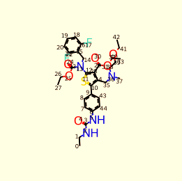 CCNC(=O)Nc1ccc(-c2sc(N(Cc3c(F)cccc3F)C(=O)OCC)c(C(=O)OCC)c2CN(C)CCOCC)cc1